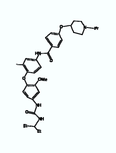 CCC(CC)NC(=O)Nc1ccc(Oc2ccc(NC(=O)c3ccc(OC4CCN(C(C)C)CC4)cc3)cc2C)c(OC)c1